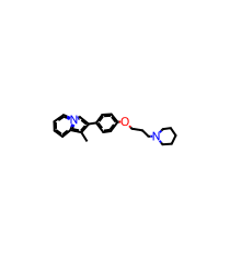 Cc1c(-c2ccc(OCCCN3CCCCC3)cc2)cn2ccccc12